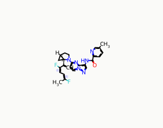 C=C(/C(F)=C\C=C(/C)F)[C@@]12C[C@@H]1CCN2c1ccn2ncc(NC(=O)c3ccc(C)cn3)c2n1